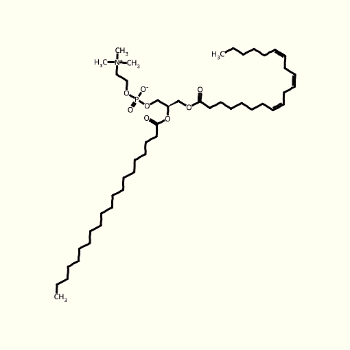 CCCCC/C=C\C/C=C\C/C=C\CCCCCCC(=O)OC[C@H](COP(=O)([O-])OCC[N+](C)(C)C)OC(=O)CCCCCCCCCCCCCCCCCCC